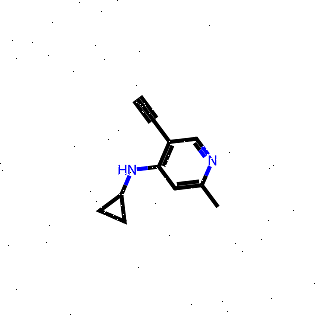 C#Cc1cnc(C)cc1NC1CC1